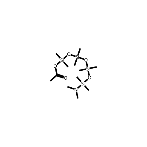 CC(=O)O[Si](C)(C)O[Si](C)(C)O[Si](C)(C)O[Si](C)(C)N(C)C